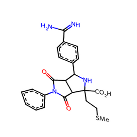 CSCCC1(C(=O)O)NC(c2ccc(C(=N)N)cc2)C2C(=O)N(c3ccccc3)C(=O)C21